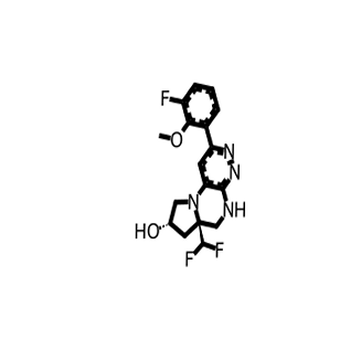 COc1c(F)cccc1-c1cc2c(nn1)NC[C@]1(C(F)F)C[C@H](O)CN21